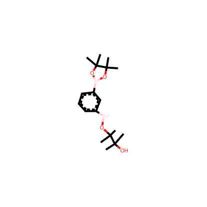 CC(C)(O)C(C)(C)OBc1cccc(B2OC(C)(C)C(C)(C)O2)c1